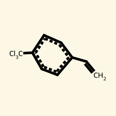 C=Cc1ccc(C(Cl)(Cl)Cl)cc1